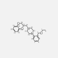 CCOCc1ccccc1N1CCN(CC2COc3ccccc3O2)CC1